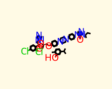 CCC(C)n1ncn(-c2ccc(N3CCN(c4ccc(OC[C@H]5CO[C@](Cn6cncn6)(c6ccc(Cl)cc6Cl)O5)cc4)CC3)cc2)c1=O.Cc1ccc(C(C)C)cc1O